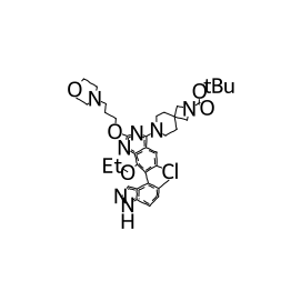 CCOc1c(-c2c(C)ccc3[nH]ncc23)c(Cl)cc2c(N3CCC4(CC3)CN(C(=O)OC(C)(C)C)C4)nc(OCCCN3CCOCC3)nc12